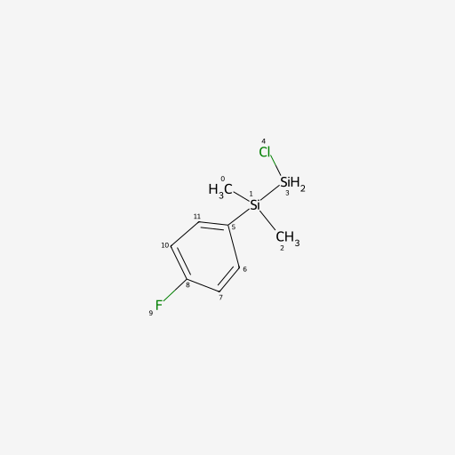 C[Si](C)([SiH2]Cl)c1ccc(F)cc1